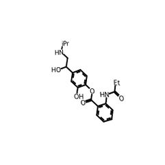 CCC(=O)Nc1ccccc1C(=O)Oc1ccc(C(O)CNC(C)C)cc1O